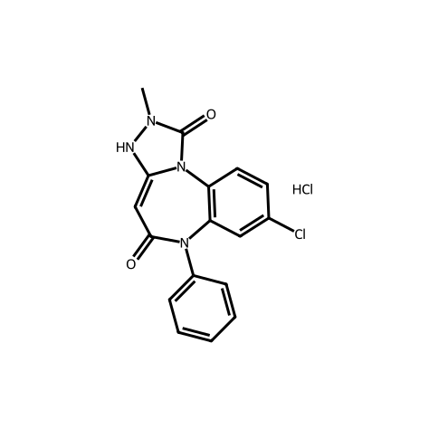 CN1NC2=CC(=O)N(c3ccccc3)c3cc(Cl)ccc3N2C1=O.Cl